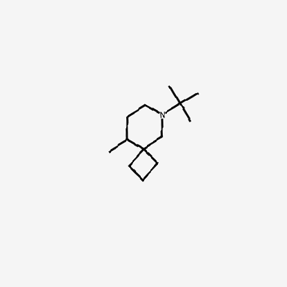 CC1CCN(C(C)(C)C)CC12CCC2